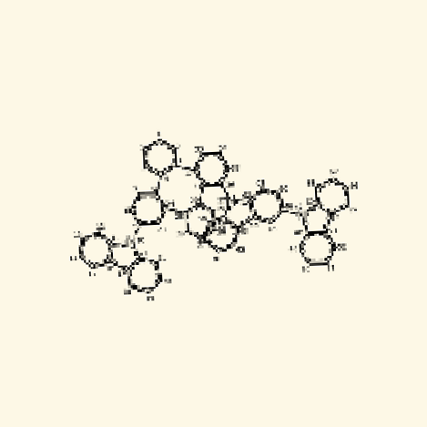 c1ccc2c(c1)-c1ccc(-n3c4ccccc4c4ccccc43)cc1-c1ccccc1-c1c-2cccc1-n1c2ccccc2c2cc(-n3c4ccccc4c4ccccc43)ccc21